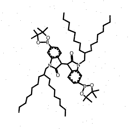 CCCCCCCCC(CCCCCCCC)CN1C(=O)C(C2C(=O)N(CC(CCCCCCCC)CCCCCCCC)c3cc(B4OC(C)(C)C(C)(C)O4)ccc32)c2ccc(B3OC(C)(C)C(C)(C)O3)cc21